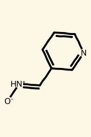 [O-][NH+]=Cc1cccnc1